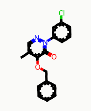 Cc1cnn(-c2cccc(Cl)c2)c(=O)c1OCc1ccccc1